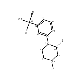 C[C@@H]1CN(C)CCN1c1cccc(C(F)(F)F)c1